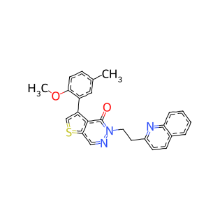 COc1ccc(C)cc1-c1csc2cnn(CCc3ccc4ccccc4n3)c(=O)c12